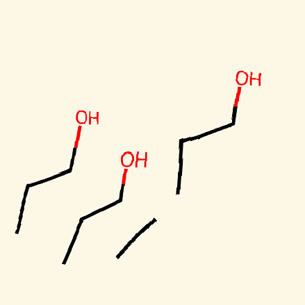 CC.CCCO.CCCO.CCCO